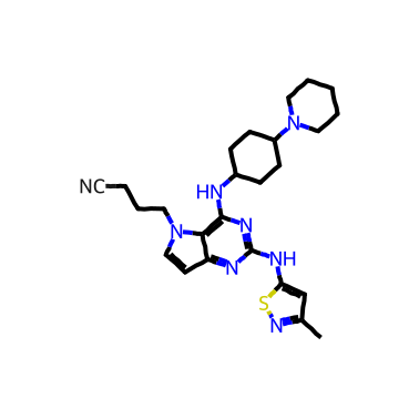 Cc1cc(Nc2nc(NC3CCC(N4CCCCC4)CC3)c3c(ccn3CCCC#N)n2)sn1